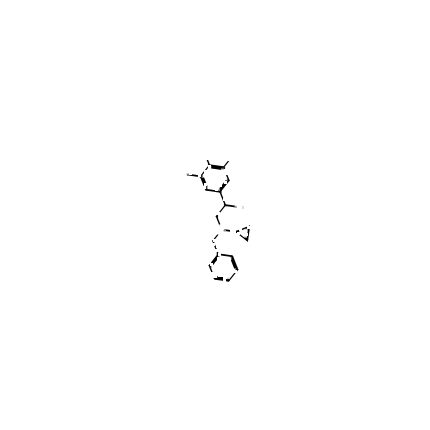 Nc1c(Cl)cc(C(O)CN(Cc2ccccc2)C2CC2)cc1Cl